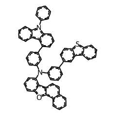 c1ccc(-n2c3ccccc3c3c(-c4cccc(N(c5cccc(-c6ccc7sc8ccccc8c7c6)c5)c5cccc6oc7c8ccccc8ccc7c56)c4)cccc32)cc1